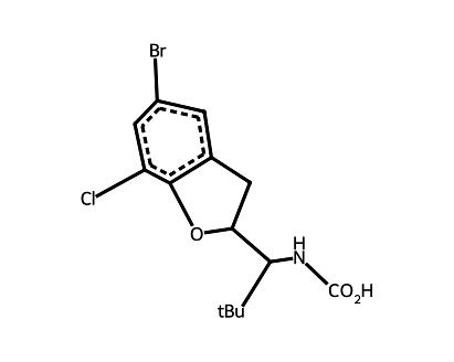 CC(C)(C)C(NC(=O)O)C1Cc2cc(Br)cc(Cl)c2O1